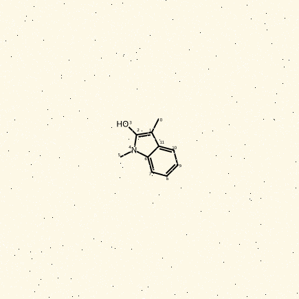 Cc1c(O)n(C)c2ccccc12